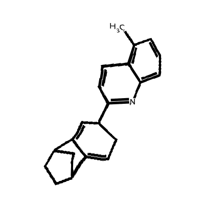 Cc1cccc2nc(C3C=C4C(=CC3)C3CCC4C3)ccc12